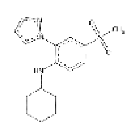 CS(=O)(=O)c1ccc(NC2CCCCC2)c(-n2cccn2)c1